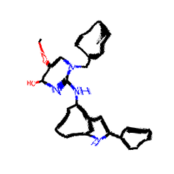 COC1=CN(Cc2ccccc2)C(Nc2cccc3[nH]c(-c4ccccc4)cc23)=NC1O